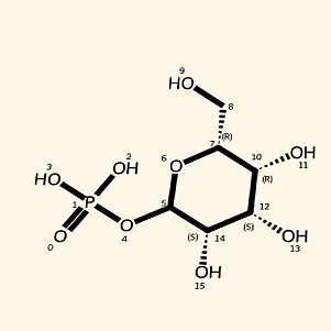 O=P(O)(O)OC1O[C@H](CO)[C@H](O)[C@H](O)[C@@H]1O